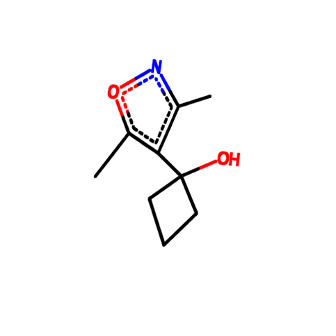 Cc1noc(C)c1C1(O)CCC1